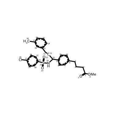 COC(=O)CCCc1ccc(C(CCc2cccc(C)c2)NS(=O)(=O)c2ccc(Cl)cc2)cc1